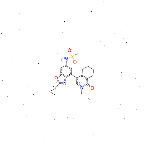 Cn1cc(-c2cc(NS(C)(=O)=O)cc3oc(C4CC4)nc23)c2c(c1=O)CCCC2